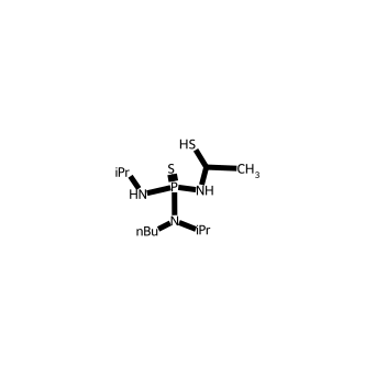 CCCCN(C(C)C)P(=S)(NC(C)C)NC(C)S